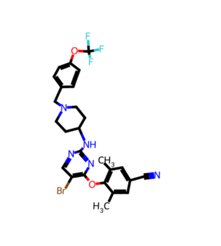 Cc1cc(C#N)cc(C)c1Oc1nc(NC2CCN(Cc3ccc(OC(F)(F)F)cc3)CC2)ncc1Br